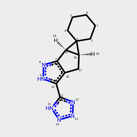 C1CCC2(CC1)[C@@H]1c3n[nH]c(-c4nnn[nH]4)c3C[C@@H]12